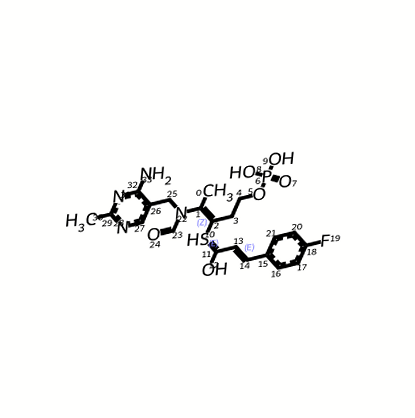 C/C(=C(CCOP(=O)(O)O)/[SH]=C(O)\C=C\c1ccc(F)cc1)N(C=O)Cc1cnc(C)nc1N